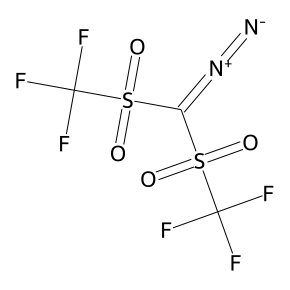 [N-]=[N+]=C(S(=O)(=O)C(F)(F)F)S(=O)(=O)C(F)(F)F